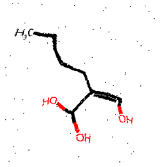 CCCCC(=CO)C(O)O